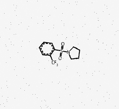 O=S(=O)(c1ccccc1C(F)(F)F)N1CCCC1